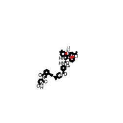 CCc1cc2c(cn1)[C@]1(CN2)[C@@H](c2cccc(Cl)c2F)[C@H](C(=O)Nc2ccc(C(=O)N3CCC4(CC3)C[C@H]4C#Cc3cccc4c3CN([C@H]3CCC(=O)NC3=O)C4=O)cc2OC)NC12CCC(C)(C)CC2